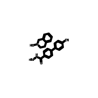 CCCCNC(=O)c1ccc(-c2ccc(C#N)cc2)cc1.ON1CCc2ccccc2C1